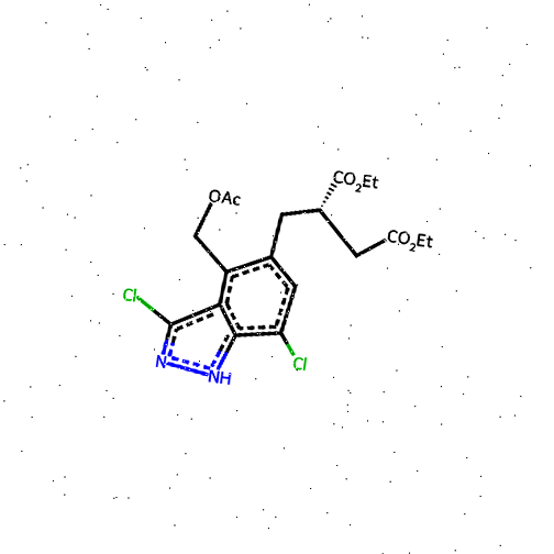 CCOC(=O)C[C@H](Cc1cc(Cl)c2[nH]nc(Cl)c2c1COC(C)=O)C(=O)OCC